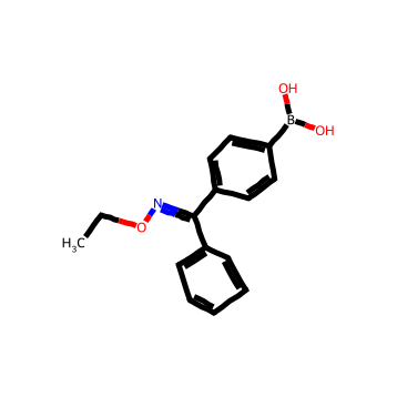 CCO/N=C(\c1ccccc1)c1ccc(B(O)O)cc1